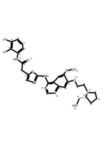 COc1cc2c(Nc3ncc(CC(=O)Nc4cccc(F)c4F)s3)ncnc2cc1OCCN1CCC[C@@H]1CO